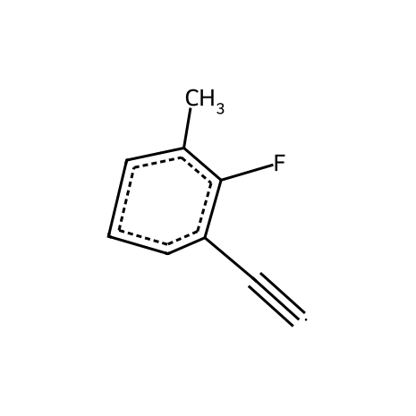 [C]#Cc1cccc(C)c1F